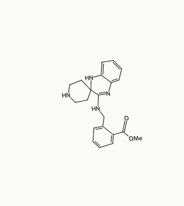 COC(=O)c1ccccc1CNC1=Nc2ccccc2NC12CCNCC2